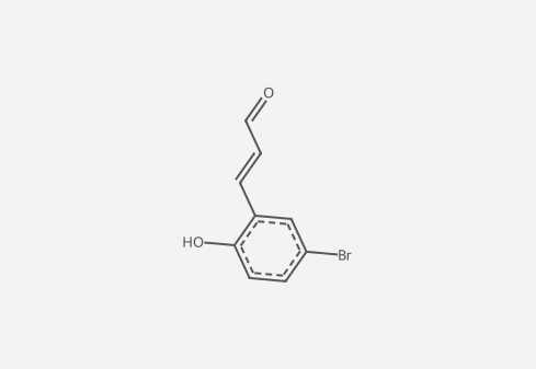 O=C/C=C/c1cc(Br)ccc1O